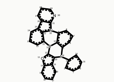 c1ccc(N2c3cccc4c3B(c3oc5ccccc5c32)c2cccc3c5cccnc5n-4c23)cc1